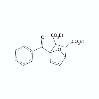 CCOC(=O)C1C2C=CC(C(=O)c3ccccc3)(O2)C1C(=O)OCC